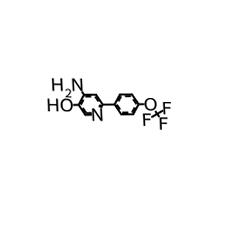 Nc1cc(-c2ccc(OC(F)(F)F)cc2)ncc1O